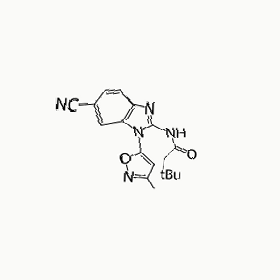 Cc1cc(-n2c(NC(=O)CC(C)(C)C)nc3ccc(C#N)cc32)on1